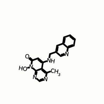 Cc1ncnc2c1c(NCc1cnc3ccccc3c1)cc(=O)n2O